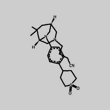 CC1(C)C[C@@H]2CN(CCCC#N)C[C@H]1N(c1ccc(C3CCS(=O)(=O)CC3)cc1)C2